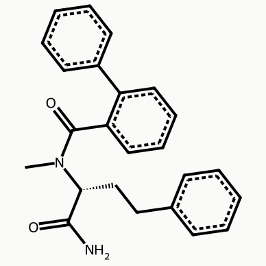 CN(C(=O)c1ccccc1-c1ccccc1)[C@H](CCc1ccccc1)C(N)=O